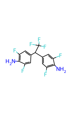 Nc1c(F)cc(C(c2cc(F)c(N)c(F)c2)C(F)(F)F)cc1F